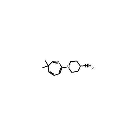 CC1(C)C=CC=C(N2CCC(N)CC2)N=C1